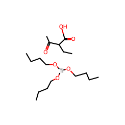 CCC(C(C)=O)C(=O)O.CCCC[O][Ti]([O]CCCC)[O]CCCC